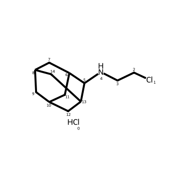 Cl.ClCCNC1C2CC3CC(C2)CC1C3